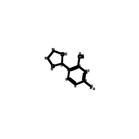 N#Cc1nc(F)ccc1C1OCCO1